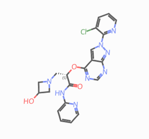 O=C(Nc1ccccn1)[C@H](CN1CC(O)C1)Oc1ncnc2nn(-c3ncccc3Cl)cc12